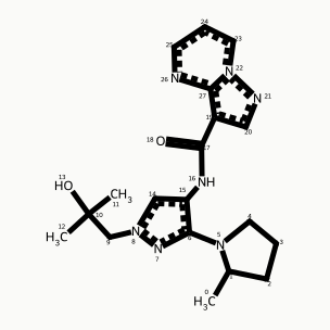 CC1CCCN1c1nn(CC(C)(C)O)cc1NC(=O)c1cnn2cccnc12